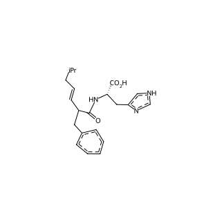 CC(C)CC=CC(Cc1ccccc1)C(=O)N[C@@H](Cc1c[nH]cn1)C(=O)O